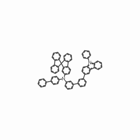 c1ccc(-c2ccc(N(c3cccc(-c4cccc(-c5ccc6c(c5)c5ccccc5n6-c5ccccc5)c4)c3)c3ccc4c(c3)C3(c5ccccc5-c5ccccc53)c3ccccc3-4)cc2)cc1